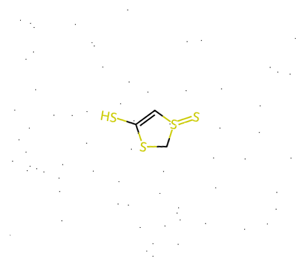 S=S1C=C(S)SC1